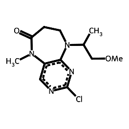 COCC(C)N1CCC(=O)N(C)c2cnc(Cl)nc21